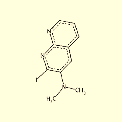 CN(C)c1cc2cccnc2nc1I